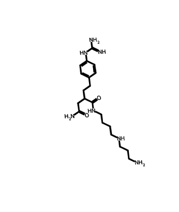 N=C(N)Nc1ccc(CCC(CC(N)=O)C(=O)NCCCCNCCCN)cc1